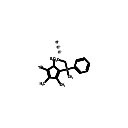 CC[Si](C)(C1=C(C)C(C)=[C]([Ti+3])C1C)c1ccccc1.[Cl-].[Cl-].[Cl-]